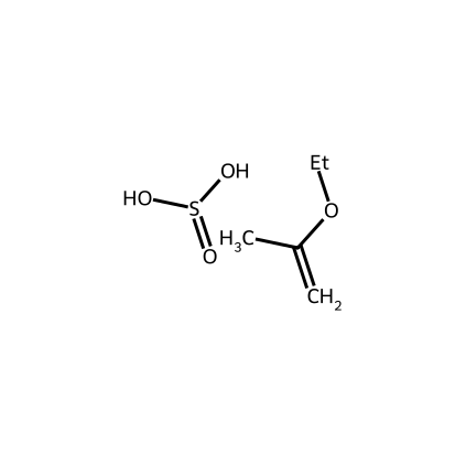 C=C(C)OCC.O=S(O)O